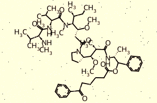 CC[C@H](C)[C@@H]([C@@H](CC(=O)N1CCC[C@H]1[C@H](OC)[C@@H](C)C(=O)N[C@H](C)C(OC(=O)CCCCC(=O)c1ccccc1)c1ccccc1)OC)N(C)C(=O)[C@@H](NC(=O)[C@@H](NC)C(C)C)C(C)C